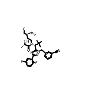 C[C@H](O)C(=O)N(CC[C@H](N)CF)[C@@H](c1nc(-c2cc(F)ccc2F)nn1Cc1cccc(C#N)c1)C(C)(C)C